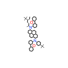 C=C/C(=C\C=C(/C)N(c1ccc2ccc3c(N(c4ccc(C(C)(C)C)cc4)c4cccc5c4oc4ccccc45)ccc4ccc1c2c43)c1cccc2c1oc1ccccc12)C(C)(C)C